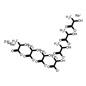 CC(O)C(=O)[O-].CC(O)C(=O)[O-].CC(O)C(=O)[O-].CC(O)C(=O)[O-].CC(O)C(=O)[O-].CC(O)C(=O)[O-].CC(O)C(=O)[O-].[Na+].[Na+].[Na+].[Zr+4]